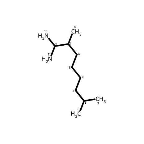 CC(C)CCCCC(C)C(N)N